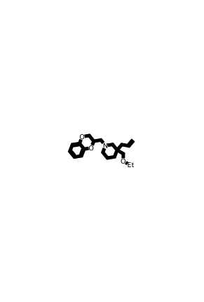 C=CCC1(COCC)CCCN(CC2COc3ccccc3O2)C1